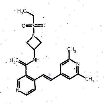 C=C(NC1CN(S(=O)(=O)CC)C1)c1cnccc1/C=C/c1cc(C)nc(C)c1